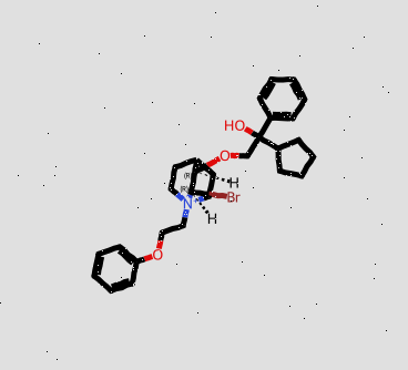 OC(CO[C@@H]1C2CC[N+](CCOc3ccccc3)(CC2)[C@@H]1Br)(c1ccccc1)C1CCCC1